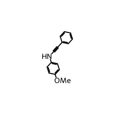 COc1ccc(NC#Cc2ccccc2)cc1